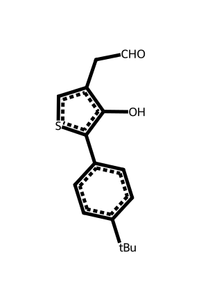 CC(C)(C)c1ccc(-c2scc(CC=O)c2O)cc1